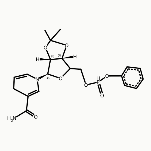 CC1(C)O[C@@H]2[C@H](O1)C(CO[PH](=O)Oc1ccccc1)O[C@H]2N1C=CCC(C(N)=O)=C1